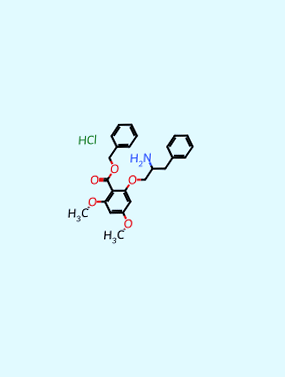 COc1cc(OC)c(C(=O)OCc2ccccc2)c(OCC(N)Cc2ccccc2)c1.Cl